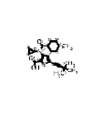 CC(C)(C)C#Cc1cc(N(C(=O)[C@H]2CC[C@H](C)CC2)C2CC2)c(C(=O)O)s1